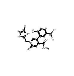 COC(=O)c1cc(=O)n(Cc2nnc(C)o2)cc1-c1cc(C(F)F)ccc1Cl